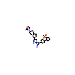 CS(=O)(=O)c1ccccc1-c1ccc(-c2c[nH]c3ncc(-c4ccc5c(c4)CC[C@@H](N4C6COCC4C6)CC5)cc23)cc1